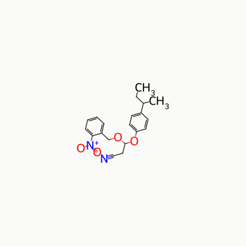 CCC(C)c1ccc(OC(CC#N)OCc2ccccc2[N+](=O)[O-])cc1